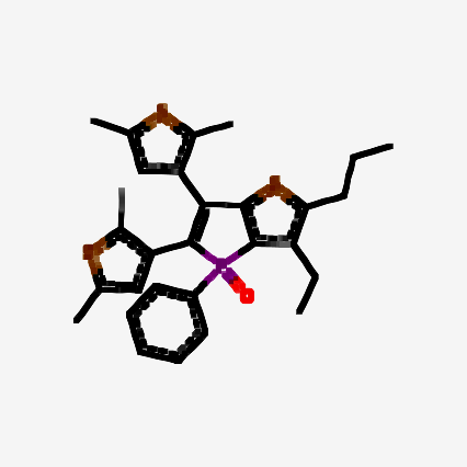 CCCc1sc2c(c1CC)P(=O)(c1ccccc1)C(c1cc(C)sc1C)=C2c1cc(C)sc1C